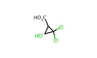 Cl.O=C(O)C1CC1(Cl)Cl